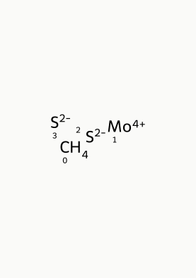 C.[Mo+4].[S-2].[S-2]